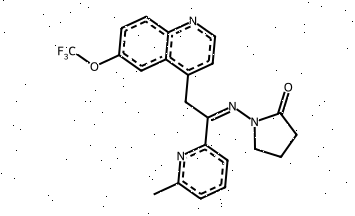 Cc1cccc(C(Cc2ccnc3ccc(OC(F)(F)F)cc23)=NN2CCCC2=O)n1